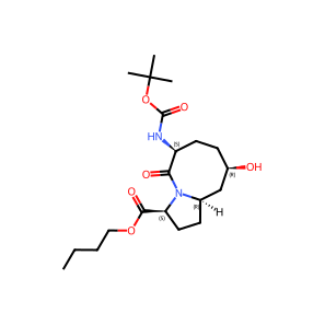 CCCCOC(=O)[C@@H]1CC[C@@H]2C[C@H](O)CC[C@H](NC(=O)OC(C)(C)C)C(=O)N21